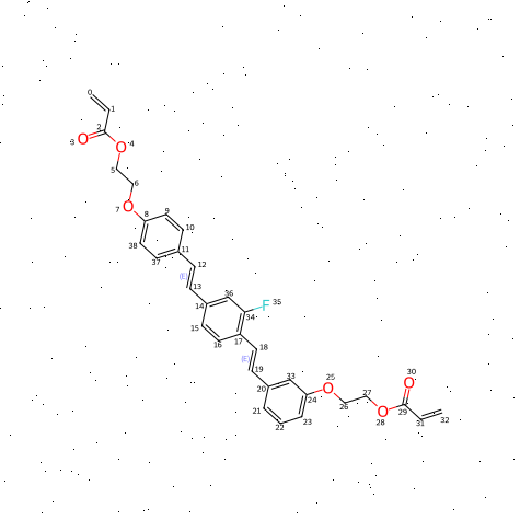 C=CC(=O)OCCOc1ccc(/C=C/c2ccc(/C=C/c3cccc(OCCOC(=O)C=C)c3)c(F)c2)cc1